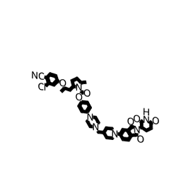 CC(CC1CCC(C)N1C(=O)Oc1ccc(N2CCN(CC3CCN(c4ccc5c(c4)C(=O)N(C4CCC(=O)NC4=O)C5=O)CC3)CC2)cc1)Oc1ccc(C#N)c(Cl)c1